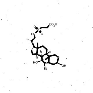 CC[C@@H]1C2C[C@H](O)CCC2(C)[C@H]2CCC3(C)[C@@H]([C@H](C)CNS(=O)(=O)CCC(=O)O)CC[C@H]3[C@@H]2[C@@H]1O